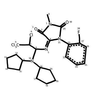 CN1C(=O)/C(=N\C(C(Cl)C(Cl)(Cl)Cl)N(C2CCCC2)C2CCCC2)N(c2ccccc2F)C1=O